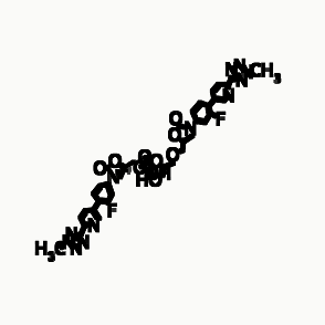 Cn1nnc(-c2ccc(-c3ccc(N4CC(COCC(CO)OP(=O)(O)OC[C@H]5CN(c6ccc(-c7ccc(-c8nnn(C)n8)nc7)c(F)c6)C(=O)O5)OC4=O)cc3F)cn2)n1